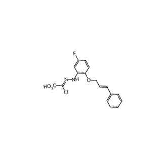 O=C(O)C(Cl)=NNc1cc(F)ccc1OCC=Cc1ccccc1